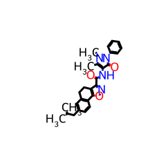 Cc1c(NC(=O)c2noc3c2CCc2cc(CC(C)C)ccc2-3)c(=O)n(-c2ccccc2)n1C